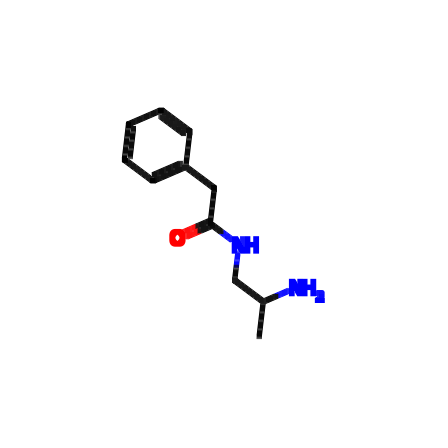 CC(N)CNC(=O)Cc1ccccc1